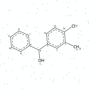 Cc1cc(C(O)c2ccccc2)ccc1Cl